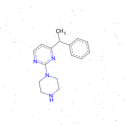 CC(c1ccccc1)c1ccnc(N2CCNCC2)n1